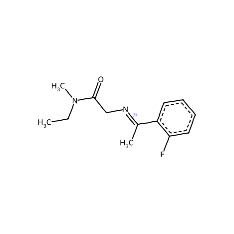 CCN(C)C(=O)C/N=C(\C)c1ccccc1F